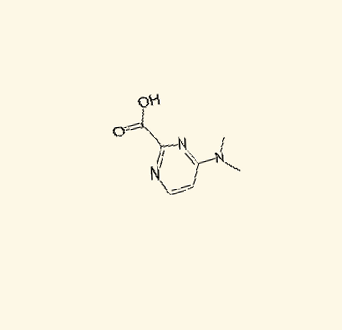 CN(C)c1ccnc(C(=O)O)n1